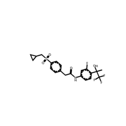 CC(O)(c1ccc(NC(=O)Cc2ccc(S(=O)(=O)CC3CC3)cc2)cc1F)C(F)(F)F